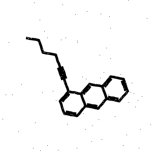 CCCCC#Cc1cccc2cc3ccccc3cc12